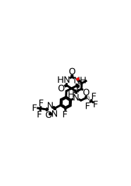 CC(C)C1O[C@H](C(F)(F)F)CN2c3cc(F)c(-c4noc(C(F)(F)F)n4)cc3CC3(C(=O)NC(=O)NC3=O)[C@@H]12